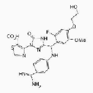 COc1cc(C(Nc2ccc(C(=N)N)cc2)c2nn(-c3ncsc3C(=O)O)c(=O)[nH]2)c(F)cc1OCCO